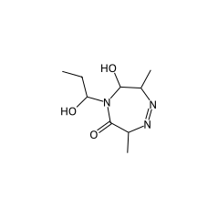 CCC(O)N1C(=O)C(C)N=NC(C)C1O